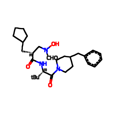 CC(C)(C)[C@H](NC(=O)[C@H](CC1CCCC1)CN(O)C=O)C(=O)N1CCC(Cc2ccccc2)CC1